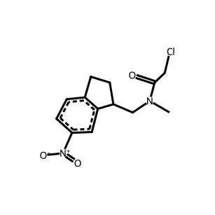 CN(CC1CCc2ccc([N+](=O)[O-])cc21)C(=O)CCl